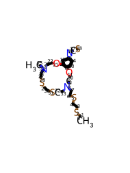 CCSCCSCCN1CCOc2ccc(N=C=S)cc2OCCN(C)CCSCCSCC1